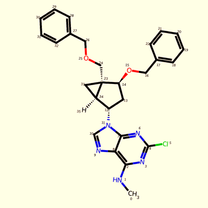 CNc1nc(Cl)nc2c1ncn2[C@H]1C[C@H](OCc2ccccc2)[C@]2(COCc3ccccc3)C[C@H]12